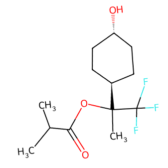 CC(C)C(=O)OC(C)([C@H]1CC[C@H](O)CC1)C(F)(F)F